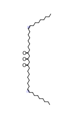 CCCCCCCC/C=C\CCCCCCCC(=O)CC(=O)CC(=O)CCCCCCC/C=C\CCCCCCCC